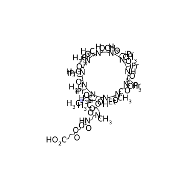 C/C=C/C[C@@H](C)C(OC(=O)CN(C)C(=O)CNC(=O)OCOC(=O)CCC(=O)O)C1C(=O)NC(CC)C(=O)N(C)CC(=O)N(C)[C@@H](CC(C)C)C(=O)NC(C(C)C)C(=O)N(C)C(CC(C)C)C(=O)NC(C)C(=O)N[C@@H](C)C(=O)N(C)[C@@H](CC(C)C)C(=O)N(C)C(CC(C)C)C(=O)N(C)C(C(C)C)C(=O)N1C